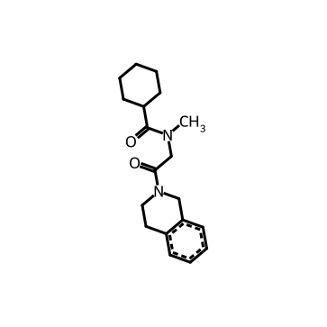 CN(CC(=O)N1CCc2ccccc2C1)C(=O)C1CCCCC1